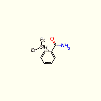 CC[SiH2]CC.NC(=O)c1ccccc1